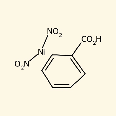 O=C(O)c1ccccc1.O=[N+]([O-])[Ni][N+](=O)[O-]